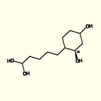 OC(O)CCCCC1CCC(O)C[C@H]1O